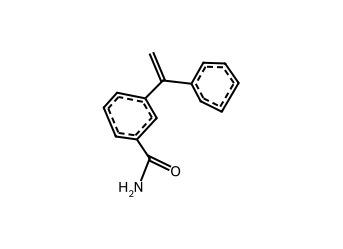 C=C(c1ccccc1)c1cccc(C(N)=O)c1